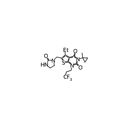 CCc1c(CN2CCNC2=O)sc2c1c(=O)n(C1(C)CC1)c(=O)n2CCC(F)(F)F